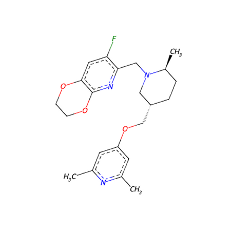 Cc1cc(OC[C@H]2CC[C@H](C)N(Cc3nc4c(cc3F)OCCO4)C2)cc(C)n1